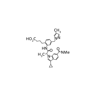 CNC(=O)c1ccc2c(C3CC3)cn(C(C)C(=O)Nc3cc(Cn4cc(C)cn4)ccc3CCCC(=O)O)c2c1